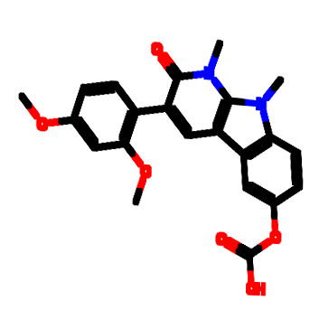 COc1ccc(-c2cc3c4cc(OC(=O)O)ccc4n(C)c3n(C)c2=O)c(OC)c1